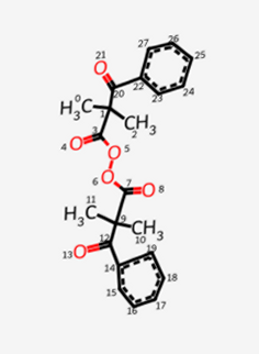 CC(C)(C(=O)OOC(=O)C(C)(C)C(=O)c1ccccc1)C(=O)c1ccccc1